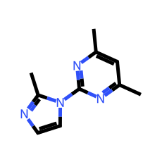 Cc1cc(C)nc(-n2ccnc2C)n1